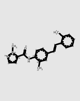 Cc1ccccc1C=Cc1ccc(NC(=O)c2ccnn2C)c(C)c1